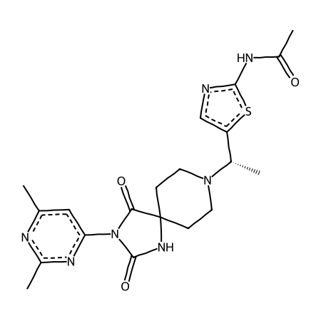 CC(=O)Nc1ncc([C@H](C)N2CCC3(CC2)NC(=O)N(c2cc(C)nc(C)n2)C3=O)s1